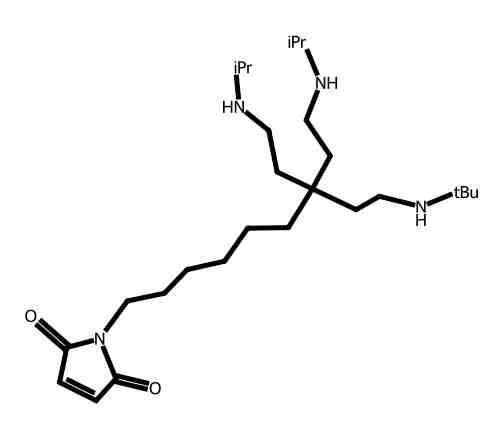 CC(C)NCCC(CCCCCCN1C(=O)C=CC1=O)(CCNC(C)C)CCNC(C)(C)C